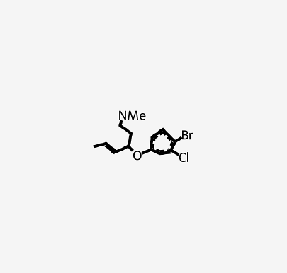 CC=CC(CCNC)Oc1ccc(Br)c(Cl)c1